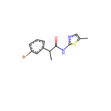 Cc1cnc(NC(=O)C(C)c2cccc(Br)c2)s1